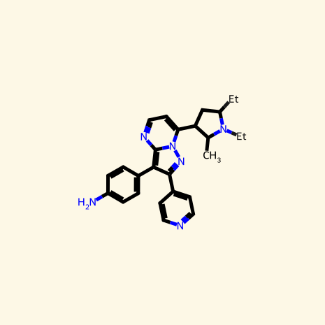 CCC1CC(c2ccnc3c(-c4ccc(N)cc4)c(-c4ccncc4)nn23)C(C)N1CC